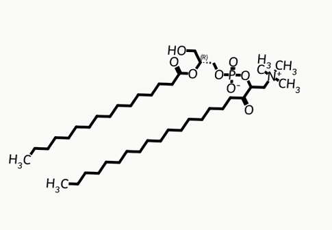 CCCCCCCCCCCCCCCCCC(=O)C(C[N+](C)(C)C)OP(=O)([O-])OC[C@@H](CO)OC(=O)CCCCCCCCCCCCCCC